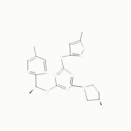 CC(=O)N[C@@H]1CCN(c2nc(Nc3cc(C)[nH]n3)nc(N[C@@H](C)c3ncc(C)cn3)n2)C1